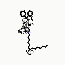 CCCCCCCC1(CCCCCC/C=C/[C@H](C(=O)N2C(=S)OC(c3ccccc3)(c3ccccc3)[C@@H]2C(C)C)[C@@](O)(COC)C(=O)O)OCCO1